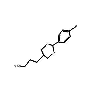 CCCCC1COC(c2ccc(F)cc2)OC1